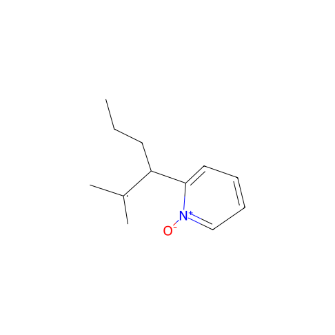 CCCC([C](C)C)c1cccc[n+]1[O-]